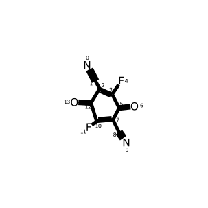 N#CC1=C(F)C(=O)C(C#N)=C(F)C1=O